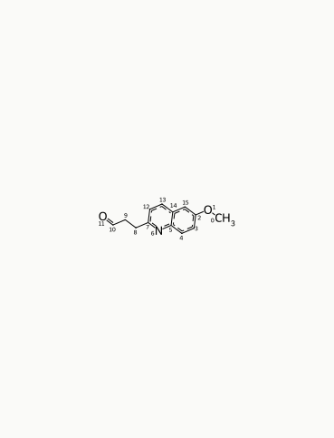 COc1ccc2nc(CCC=O)ccc2c1